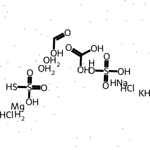 Cl.Cl.O.O.O=C(O)O.O=CO.O=S(=O)(O)O.O=S(=O)(O)S.[KH].[MgH2].[NaH]